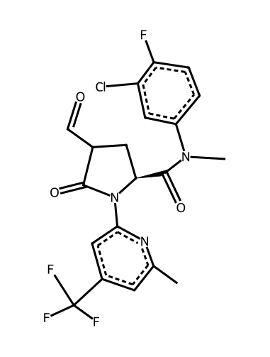 Cc1cc(C(F)(F)F)cc(N2C(=O)C(C=O)C[C@H]2C(=O)N(C)c2ccc(F)c(Cl)c2)n1